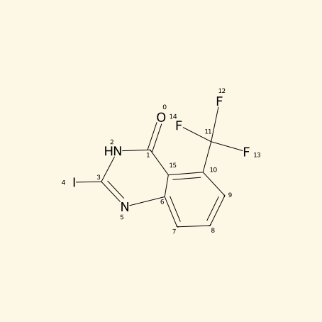 O=c1[nH]c(I)nc2cccc(C(F)(F)F)c12